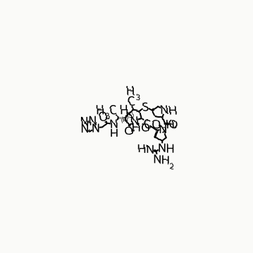 CC(NC(=O)Cn1cnnn1)[C@H]1C(=O)N2C(C(=O)O)C(SC3CNC(C(=O)N4CC(NC(=N)N)CC4CO)C3)C(C)[C@H]12